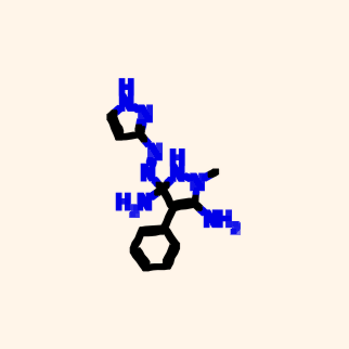 CN1NC(N)(N=Nc2cc[nH]n2)C(c2ccccc2)=C1N